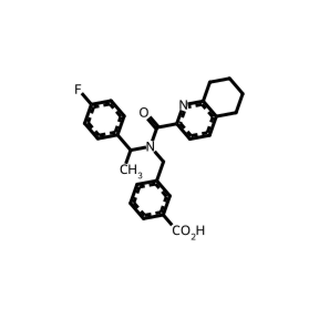 CC(c1ccc(F)cc1)N(Cc1cccc(C(=O)O)c1)C(=O)c1ccc2c(n1)CCCC2